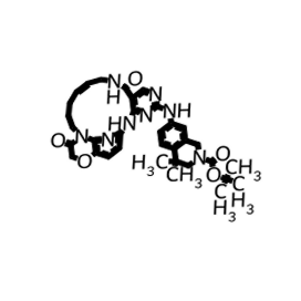 CC(C)(C)OC(=O)N1Cc2cc(Nc3ncc4c(n3)Nc3ccc5c(n3)N(CCC/C=C\CNC4=O)C(=O)CO5)ccc2C(C)(C)C1